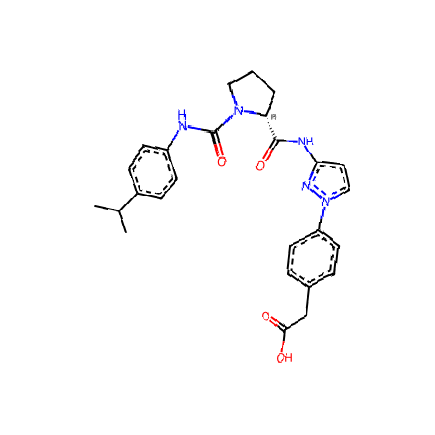 CC(C)c1ccc(NC(=O)N2CCC[C@@H]2C(=O)Nc2ccn(-c3ccc(CC(=O)O)cc3)n2)cc1